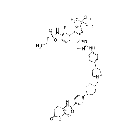 CCCS(=O)(=O)Nc1cccc(-c2nc(C(C)(C)C)sc2-c2ccnc(Nc3ccc(C4CCN(CC5CCN(c6ccc(C(=O)N[C@@H]7CCC(=O)NC7=O)cc6)CC5)CC4)cc3)n2)c1F